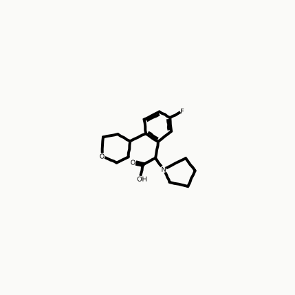 O=C(O)C(c1cc(F)ccc1C1CCOCC1)N1CCCC1